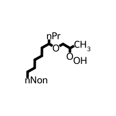 CCCCCCCCCCCCCCC(CCC)OCC(C)OO